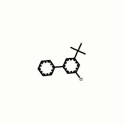 CC(C)(C)c1cc(Cl)cc(-c2ccccc2)c1